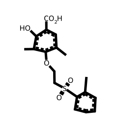 Cc1ccccc1S(=O)(=O)CCOc1c(C)cc(C(=O)O)c(O)c1C